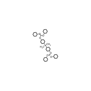 CC(C)(c1ccc(OP(Oc2ccccc2)Oc2ccccc2)cc1)c1ccc(OP(Oc2ccccc2)Oc2ccccc2)cc1